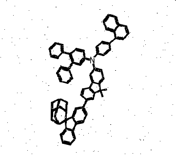 CC1(C)c2ccc(N(c3ccc(-c4cccc5ccccc45)cc3)c3ccc(-c4ccccc4)c(-c4ccccc4)c3)cc2-c2ccc(-c3ccc4c(c3)C3(c5ccccc5-4)C4CC5CC(C4)CC3C5)cc21